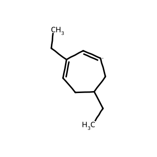 CCC1=CCC(CC)C[C]=C1